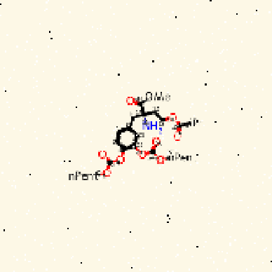 CCCCCOC(=O)Oc1ccc(C[C@](N)(CCOC(=O)C(C)C)C(=O)OC)cc1OC(=O)OCCCCC